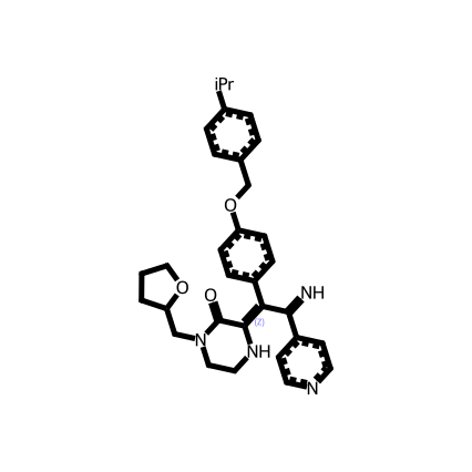 CC(C)c1ccc(COc2ccc(/C(C(=N)c3ccncc3)=C3/NCCN(CC4CCCO4)C3=O)cc2)cc1